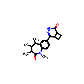 CC1C(=O)N(C)c2ccc(C3=NNC(=O)C4CCC34)cc2C(C)C1C